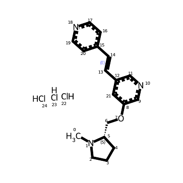 CN1CCC[C@H]1COc1cncc(/C=C/c2ccncc2)c1.Cl.Cl.Cl